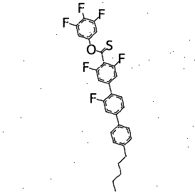 CCCCCc1ccc(-c2ccc(-c3cc(F)c(C(=S)Oc4cc(F)c(F)c(F)c4)c(F)c3)c(F)c2)cc1